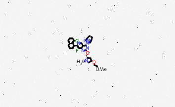 COCCO[C@@H]1C[C@@H](COc2nc(N3CC4CCC(C3)N4)c3cnc(-c4cccc5cccc(Cl)c45)c(F)c3n2)N(C)C1